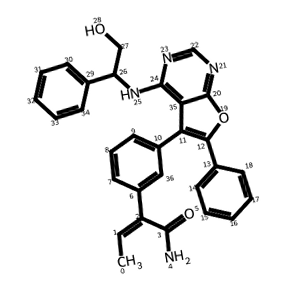 CC=C(C(N)=O)c1cccc(-c2c(-c3ccccc3)oc3ncnc(NC(CO)c4ccccc4)c23)c1